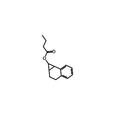 CCCC(=O)OC1C2CCc3ccccc3C21